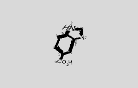 O=C(O)c1ccc2[nH][c]nc2c1